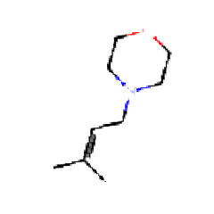 CC(C)=CCN1CCOCC1